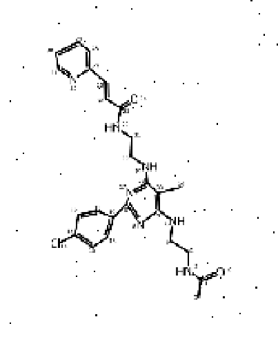 CC(=O)NCCNc1nc(-c2ccc(Cl)cc2)nc(NCCNC(=O)/C=C/c2ccccn2)c1C